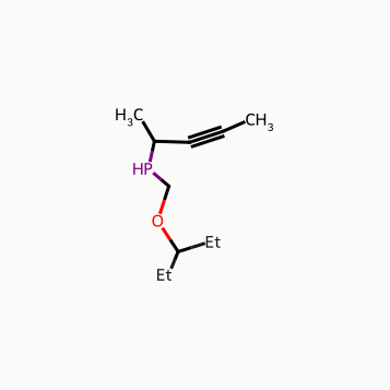 CC#CC(C)PCOC(CC)CC